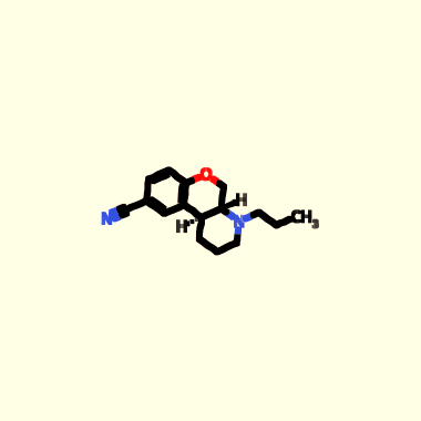 CCCN1CCC[C@H]2c3cc(C#N)ccc3OC[C@@H]21